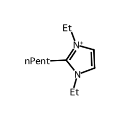 CCCCCc1n(CC)cc[n+]1CC